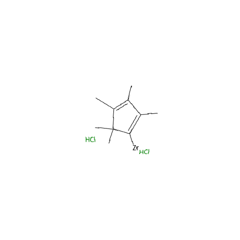 CC1=C(C)C(C)(C)[C]([Zr])=C1C.Cl.Cl